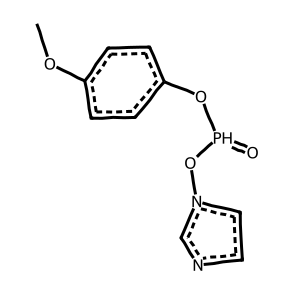 COc1ccc(O[PH](=O)On2ccnc2)cc1